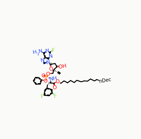 C#C[C@]1(COP(=O)(N[C@@H](Cc2cc(F)cc(F)c2)C(=O)OCCCCCCCCCCCCCCCCCCCCCC)Oc2ccccc2)O[C@@H](n2cnc3c(N)nc(F)nc32)C[C@@H]1O